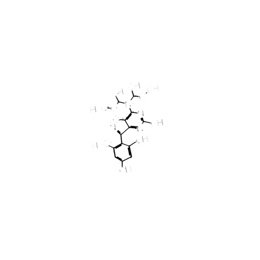 COC(C)N(c1nc(C)nc2c(-c3c(C)cc(C)cc3C)noc12)C(C)OC